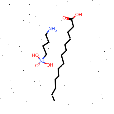 CCCCCCCCCCCCCC(=O)O.NCCCC[N+]([O-])(O)O